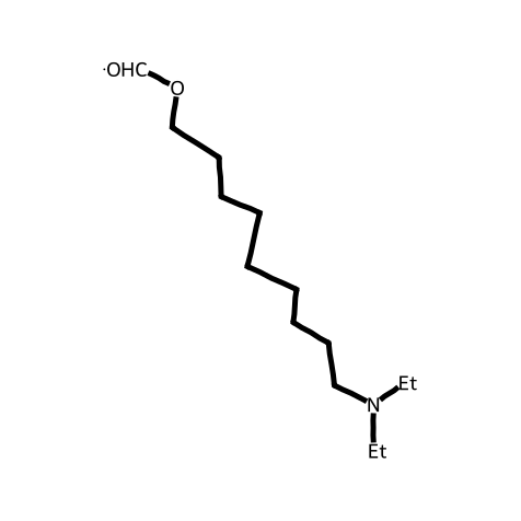 CCN(CC)CCCCCCCCCO[C]=O